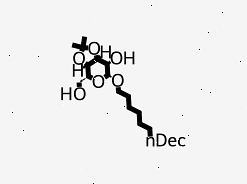 CCCCCCCCCCCCCCCCO[C@@H]1O[C@H](CO)[C@@H]2OC(C)(C)O[C@@H]2[C@H]1O